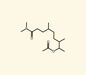 CC(=O)OC(C)C(C)CCC(C)CCC(=O)N(C)C